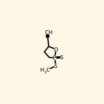 C#CC1CCP(=S)(SC)O1